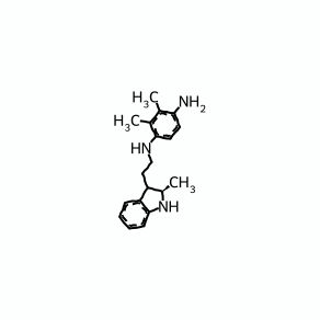 Cc1c(N)ccc(NCCC2c3ccccc3N[C@@H]2C)c1C